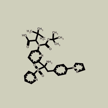 CC(C)(C)OC(=O)N(c1cccc(C(N)(Cc2ccc(-n3cccn3)cc2)S(=O)(=O)c2ccccn2)n1)C(C(=O)O)C(C)(C)C